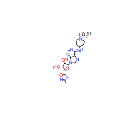 CCOC(=O)N1CCC(Nc2ncnc3c2ncn3[C@@H]2O[C@H](c3nc(C)no3)[C@@H](O)[C@@H]2O)CC1